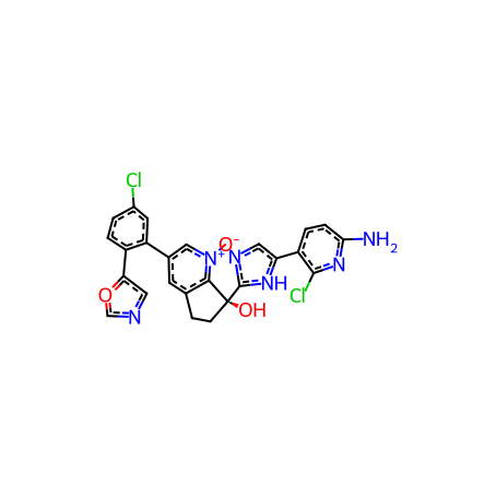 Nc1ccc(-c2cnc([C@]3(O)CCc4cc(-c5cc(Cl)ccc5-c5cnco5)c[n+]([O-])c43)[nH]2)c(Cl)n1